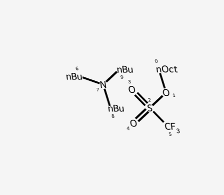 CCCCCCCCOS(=O)(=O)C(F)(F)F.CCCCN(CCCC)CCCC